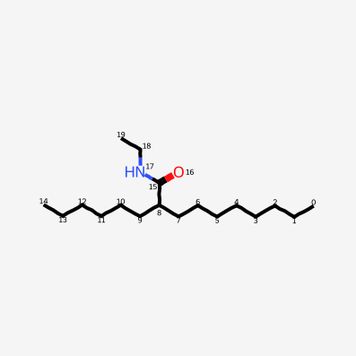 CCCCCCCCC(CCCCCC)C(=O)NCC